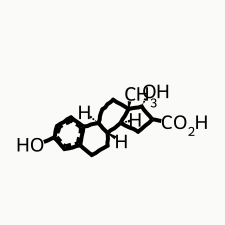 C[C@]12CC[C@@H]3c4ccc(O)cc4CC[C@H]3[C@@H]1CC(C(=O)O)[C@H]2O